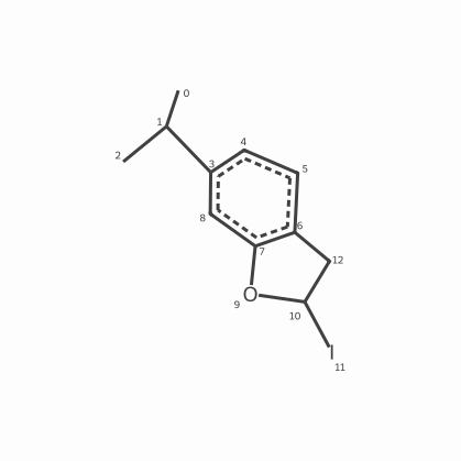 CC(C)c1ccc2c(c1)OC(I)C2